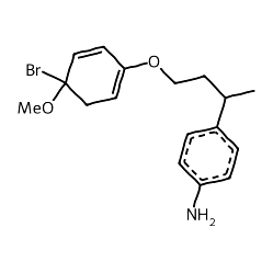 COC1(Br)C=CC(OCCC(C)c2ccc(N)cc2)=CC1